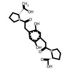 C=C(O)[C@H]1CCCN1C(=O)Cc1cc(O)c(CC(=O)N2CCC[C@@H]2C(=O)O)cc1O